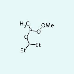 CCC(CC)OP(C)OOC